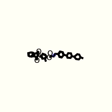 Cc1cc(N2C(=O)C3C4C=CC(C4)C3C2=O)ccc1OC(=O)/C=C/c1ccc(C2CCC(C3CCC(C)CC3)CC2)cc1